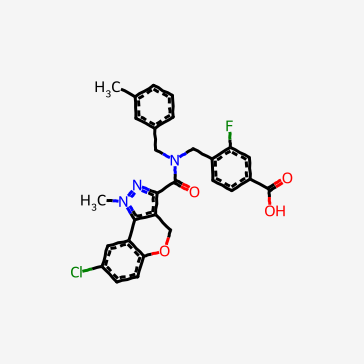 Cc1cccc(CN(Cc2ccc(C(=O)O)cc2F)C(=O)c2nn(C)c3c2COc2ccc(Cl)cc2-3)c1